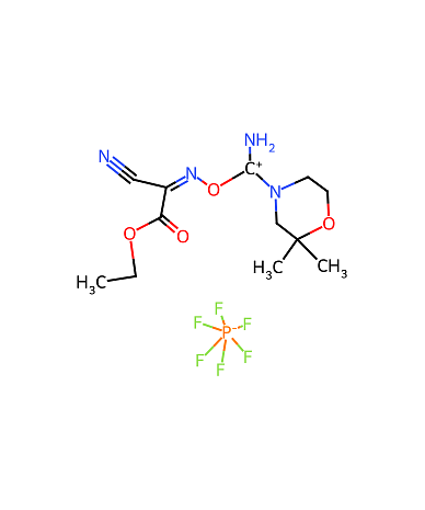 CCOC(=O)C(C#N)=NO[C+](N)N1CCOC(C)(C)C1.F[P-](F)(F)(F)(F)F